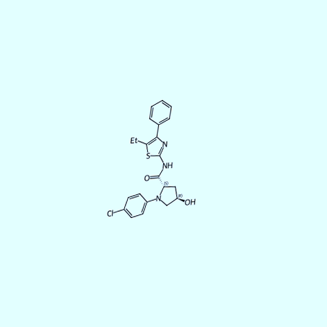 CCc1sc(NC(=O)[C@@H]2C[C@@H](O)CN2c2ccc(Cl)cc2)nc1-c1ccccc1